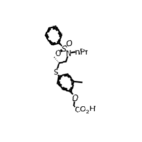 CCCN(C[C@@H](C)Sc1ccc(OCC(=O)O)c(C)c1)S(=O)(=O)c1ccccc1